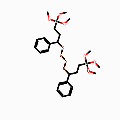 CO[Si](CCC(SSSSC(CC[Si](OC)(OC)OC)c1ccccc1)c1ccccc1)(OC)OC